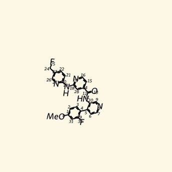 COc1ccc(-c2ccncc2NC(=O)c2ccnc(Nc3ccc(CF)cn3)c2)c(F)c1